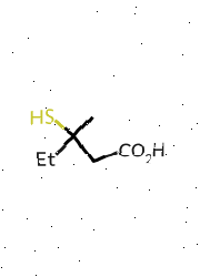 CCC(C)(S)CC(=O)O